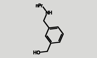 CCCNCc1cccc(CO)c1